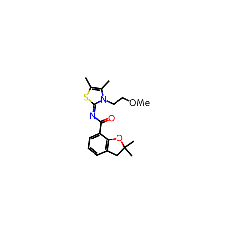 COCCn1c(C)c(C)sc1=NC(=O)c1cccc2c1OC(C)(C)C2